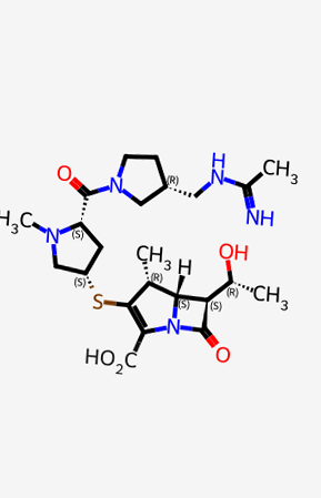 CC(=N)NC[C@H]1CCN(C(=O)[C@@H]2C[C@H](SC3=C(C(=O)O)N4C(=O)[C@H]([C@@H](C)O)[C@H]4[C@H]3C)CN2C)C1